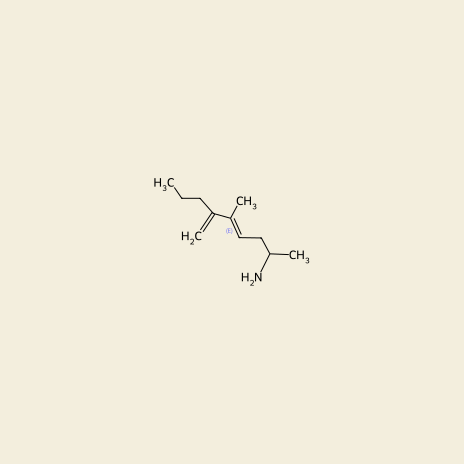 C=C(CCC)/C(C)=C/CC(C)N